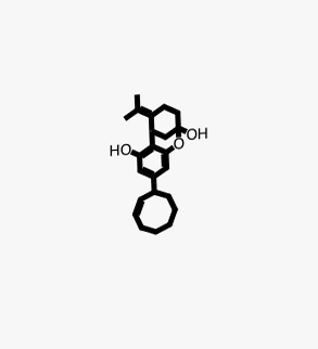 CC(C)=C1CCC2(O)CC1c1c(O)cc(C3/C=C\CCCCC3)cc1O2